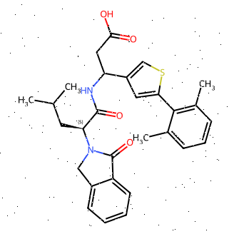 Cc1cccc(C)c1-c1cc(C(CC(=O)O)NC(=O)[C@H](CC(C)C)N2Cc3ccccc3C2=O)cs1